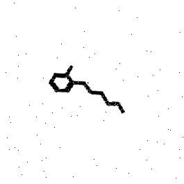 CCCCC[CH]c1ccccc1C